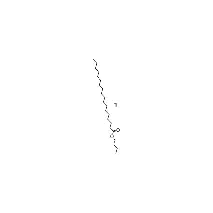 CCCCCCCCCCCCCCCCCC(=O)OCCCC.[Ti]